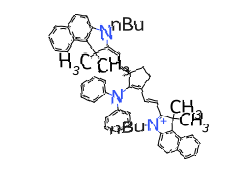 CCCCN1/C(=C/C=C2\CCC(/C=C/C3=[N+](CCCC)c4ccc5ccccc5c4C3(C)C)=C2N(c2ccccc2)c2ccccc2)C(C)(C)c2c1ccc1ccccc21